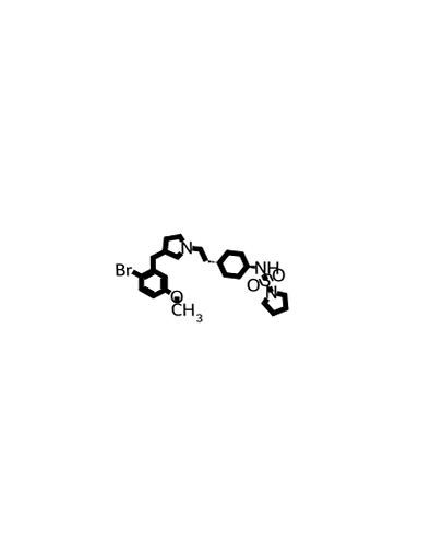 COc1ccc(Br)c(CC2CCN(CC[C@H]3CC[C@H](NS(=O)(=O)N4CCCC4)CC3)C2)c1